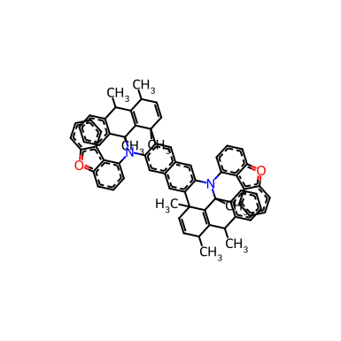 CC1C=CC2(C)C3=C1C(C)c1ccccc1C3(C)N(c1cccc3oc4ccccc4c13)c1cc3cc4c(cc3cc12)N(c1cccc2oc3ccccc3c12)C1(C)C2=C(C(C)C=CC24C)C(C)c2ccccc21